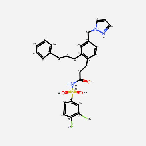 O=C(CCc1ccc(Cn2cccn2)cc1CCCc1ccccc1)NS(=O)(=O)c1ccc(F)c(F)c1